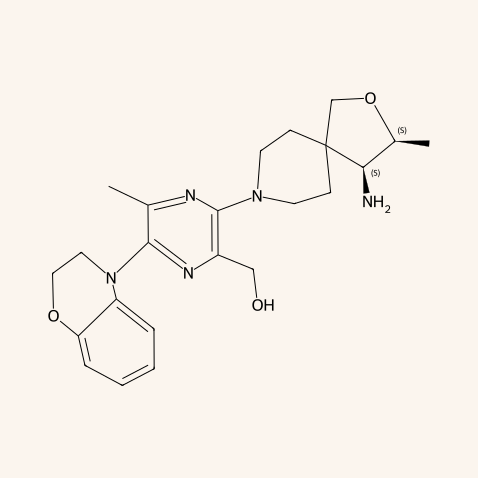 Cc1nc(N2CCC3(CC2)CO[C@@H](C)[C@H]3N)c(CO)nc1N1CCOc2ccccc21